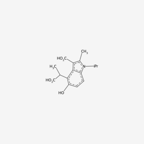 Cc1c(C(=O)O)c2c(C(C)C(=O)O)c(O)ccc2n1C(C)C